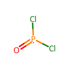 O=[P](Cl)Cl